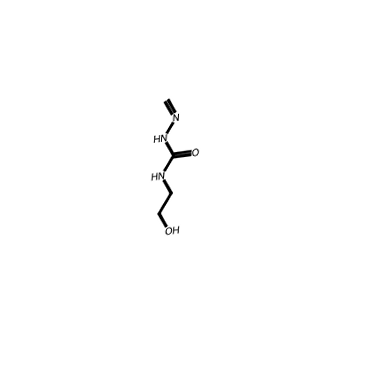 C=NNC(=O)NCCO